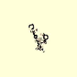 CC(C)[C@H](NC(=O)C1CCCCC(N)CC1)C(=O)N[C@@H](CCCNC(N)=O)C(=O)Nc1ccc(COC(=O)NC2CCCCCCCC2)cc1